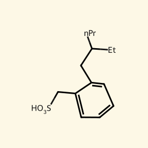 CCCC(CC)Cc1ccccc1CS(=O)(=O)O